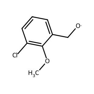 COc1c(Cl)cccc1C[O]